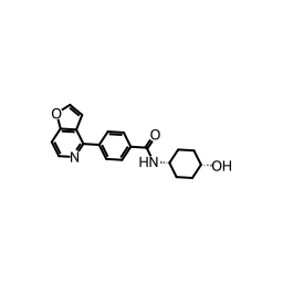 O=C(N[C@H]1CC[C@@H](O)CC1)c1ccc(-c2nccc3occc23)cc1